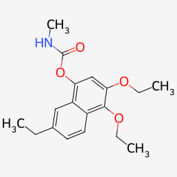 CCOc1cc(OC(=O)NC)c2cc(CC)ccc2c1OCC